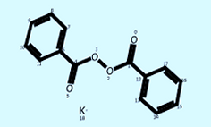 O=C(OOC(=O)c1ccccc1)c1ccccc1.[K]